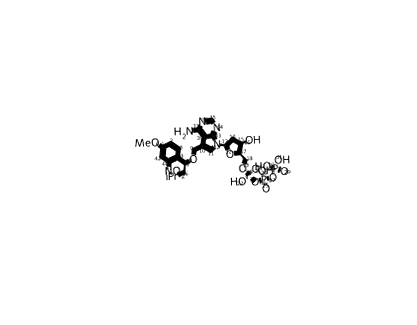 COc1ccc([C@H](CC(C)C)OCc2cn([C@H]3C[C@@H](O)[C@@H](COP(=O)(O)OP(=O)(O)OP(=O)(O)O)O3)c3ncnc(N)c23)c([N+](=O)[O-])c1